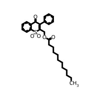 CCCCCCCCCCCC(=O)OCC1=C(c2ccccc2)C(=O)c2ccccc2S1(=O)=O